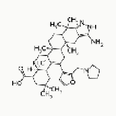 CC1(C)CC2C3=C(c4ccoc4CN4CCCC4)CC4[C@@]5(C)Cc6c(n[nH]c6N)C(C)(C)C5CC[C@@]4(C)[C@]3(C)CC[C@@H]2[C@H](C(=O)O)C1